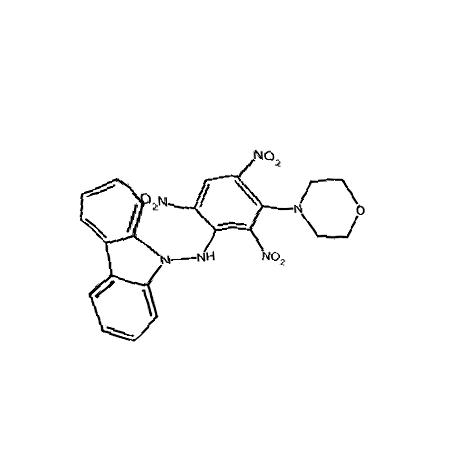 O=[N+]([O-])c1cc([N+](=O)[O-])c(N2CCOCC2)c([N+](=O)[O-])c1Nn1c2ccccc2c2ccccc21